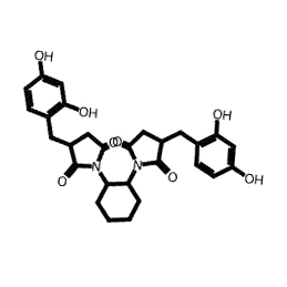 O=C1CC(Cc2ccc(O)cc2O)C(=O)N1C1CCCCC1N1C(=O)CC(Cc2ccc(O)cc2O)C1=O